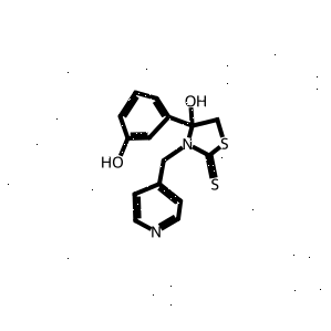 Oc1cccc(C2(O)CSC(=S)N2Cc2ccncc2)c1